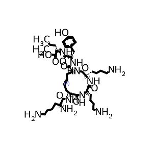 CC(C)C[C@H](NC(=O)[C@H](Cc1ccc(O)cc1)NC(=O)[C@@H]1C/C=C/C[C@H](NC(=O)[C@@H](N)CCCCN)C(=O)N[C@@H](CCCCN)C(=O)N[C@@H](CCCCN)C(=O)N1)C(=O)O